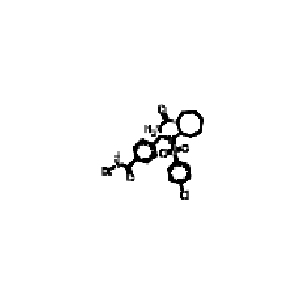 CCNC(=O)c1ccc(CN([C@@H]2CCCCC[C@@H]2C(N)=O)S(=O)(=O)c2ccc(Cl)cc2)cc1